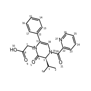 CC(C)[C@H]1C(=O)N(CC(=O)O)C(c2ccccc2)=CN1C(=O)c1ccccn1